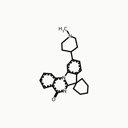 CN1CCC(c2ccc3c(c2)-n2c(nc(=O)c4ccccc42)C32CCCCC2)CC1